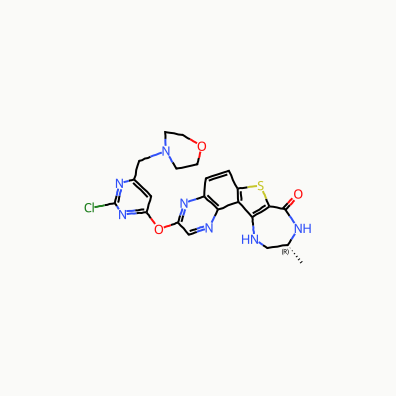 C[C@@H]1CNc2c(sc3ccc4nc(Oc5cc(CN6CCOCC6)nc(Cl)n5)cnc4c23)C(=O)N1